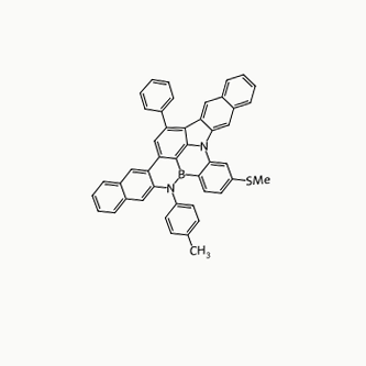 CSc1ccc2c(c1)-n1c3cc4ccccc4cc3c3c(-c4ccccc4)cc4c(c31)B2N(c1ccc(C)cc1)c1cc2ccccc2cc1-4